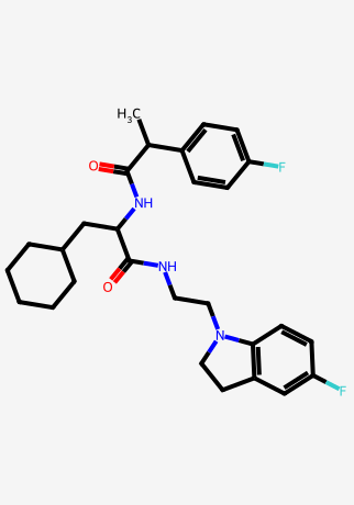 CC(C(=O)NC(CC1CCCCC1)C(=O)NCCN1CCc2cc(F)ccc21)c1ccc(F)cc1